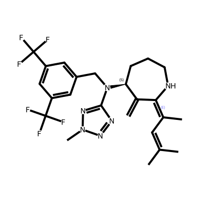 C=C1/C(=C(/C)C=C(C)C)NCCC[C@@H]1N(Cc1cc(C(F)(F)F)cc(C(F)(F)F)c1)c1nnn(C)n1